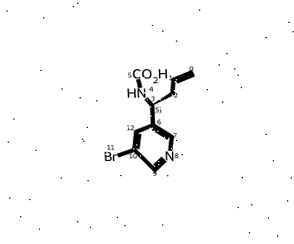 C=CC[C@H](NC(=O)O)c1cncc(Br)c1